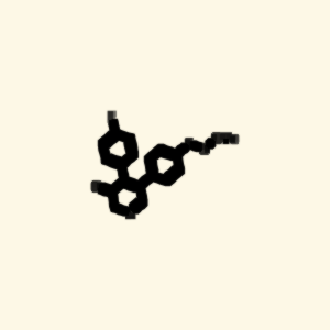 COOSc1ccc(C2=C(c3ccc(F)cc3)C(=O)CN=C2)cc1